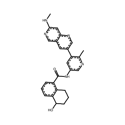 CNc1cc2ncc(-c3cc(NC(=O)c4cccc5c4CCCC5O)cnc3C)cc2cn1